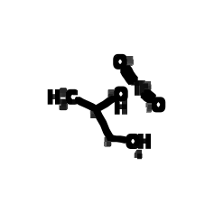 CC(O)CO.[O]=[Ti]=[O]